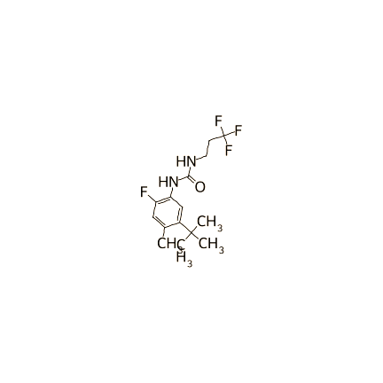 Cc1cc(F)c(NC(=O)NCCC(F)(F)F)cc1C(C)(C)C